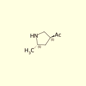 CC(=O)[C@@H]1CN[C@@H](C)C1